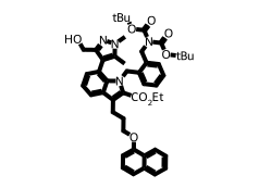 CCOC(=O)c1c(CCCOc2cccc3ccccc23)c2cccc(-c3c(CO)nn(C)c3C)c2n1Cc1ccccc1CN(C(=O)OC(C)(C)C)C(=O)OC(C)(C)C